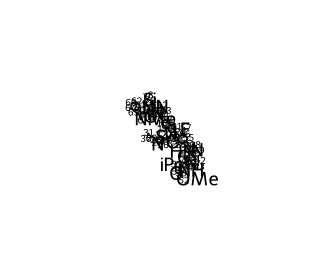 CNC(C(=O)N1C[Si](C)(C)C[C@H]1c1ncc(-c2ccc3c(c2)cc2n3[C@H](c3cnc(C4CC4)s3)Oc3cc(-c4cnc([C@@H]5CCCN5C(=O)[C@@H](NC(=O)OC)C(C)C)[nH]4)cc(F)c3-2)[nH]1)c1ccccc1